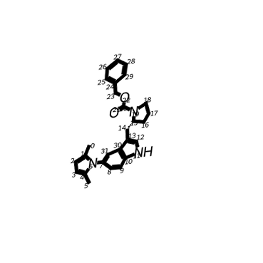 Cc1ccc(C)n1-c1ccc2[nH]cc(C[C@H]3CCCN3C(=O)OCc3ccccc3)c2c1